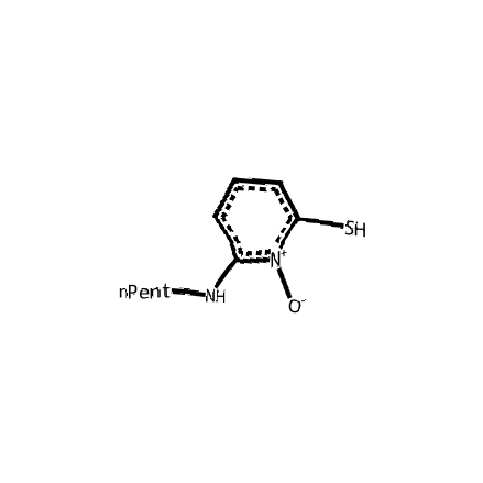 CCCCCNc1cccc(S)[n+]1[O-]